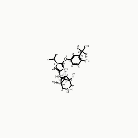 CC(C)n1nc(N[C@@H]2[C@@H]3CC[C@H]2CNC3)nc1Oc1ccc(F)c(C(F)(F)F)c1